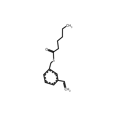 C=Cc1cccc(CSC(=O)CCCCC)c1